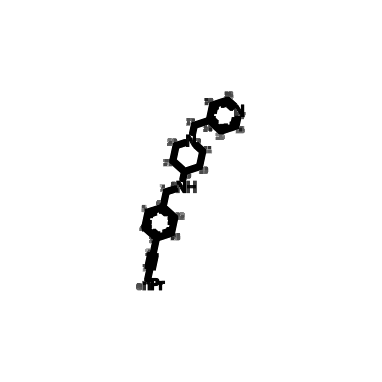 CCCC#Cc1ccc(CNC2CCN(Cc3ccncc3)CC2)cc1